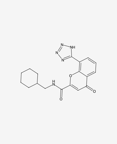 O=C(NCC1CCCCC1)c1cc(=O)c2cccc(-c3nnn[nH]3)c2o1